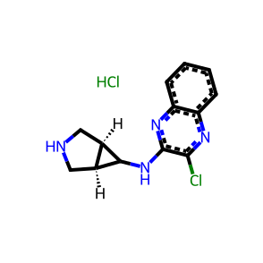 Cl.Clc1nc2ccccc2nc1NC1[C@H]2CNC[C@@H]12